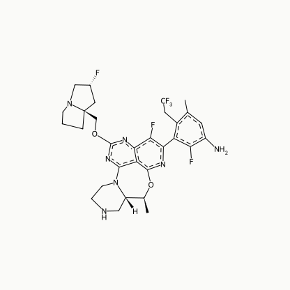 Cc1cc(N)c(F)c(-c2nc3c4c(nc(OC[C@@]56CCCN5C[C@H](F)C6)nc4c2F)N2CCNC[C@H]2[C@H](C)O3)c1CC(F)(F)F